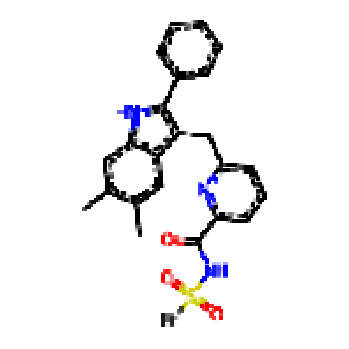 CCS(=O)(=O)NC(=O)c1cccc(Cc2c(-c3ccccc3)[nH]c3cc(C)c(C)cc23)n1